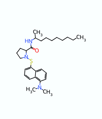 CCCCCCCCC(C)NC(=O)C1CCCN1Sc1cccc2c(N(C)C)cccc12